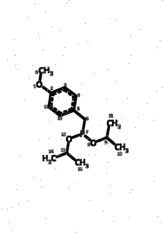 COc1ccc(CP(OC(C)C)OC(C)C)cc1